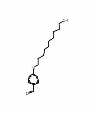 O=Cc1ccc(OCCCCCCCCCCO)cc1